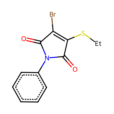 CCSC1=C(Br)C(=O)N(c2ccccc2)C1=O